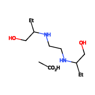 CC(=O)O.CCC(CO)NCCNC(CC)CO